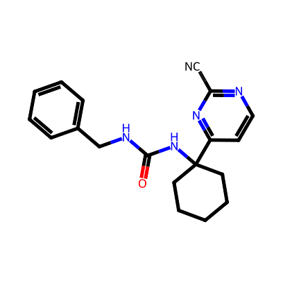 N#Cc1nccc(C2(NC(=O)NCc3ccccc3)CCCCC2)n1